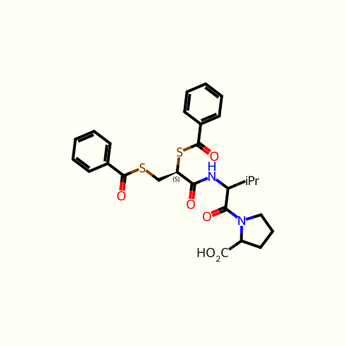 CC(C)C(NC(=O)[C@@H](CSC(=O)c1ccccc1)SC(=O)c1ccccc1)C(=O)N1CCCC1C(=O)O